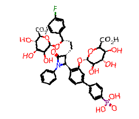 O=C(O)C1O[C@@H](Oc2cc(-c3ccc(P(=O)(O)O)cc3)ccc2[C@@H]2[C@@H](CC[C@H](O[C@@H]3OC(C(=O)O)[C@@H](O)[C@H](O)C3O)c3ccc(F)cc3)C(=O)N2c2ccccc2)C(O)[C@@H](O)[C@@H]1O